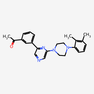 CC(=O)c1cccc(-c2cncc(N3CCN(c4cccc(C)c4C)CC3)n2)c1